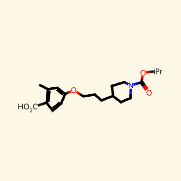 Cc1cc(OCCCC2CCN(C(=O)OC(C)C)CC2)ccc1C(=O)O